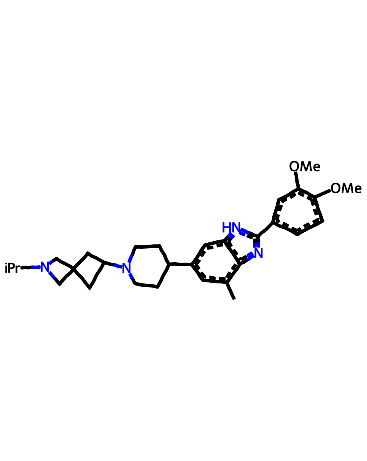 COc1ccc(-c2nc3c(C)cc(C4CCN(C5CC6(C5)CN(C(C)C)C6)CC4)cc3[nH]2)cc1OC